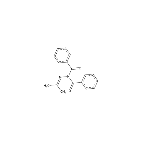 CC(C)=NN(C(=O)c1ccccc1)C(=O)c1ccccc1